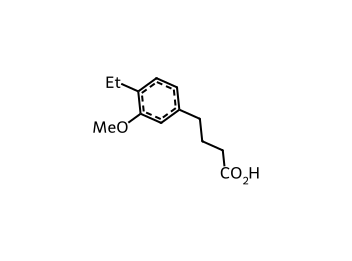 CCc1ccc(CCCC(=O)O)cc1OC